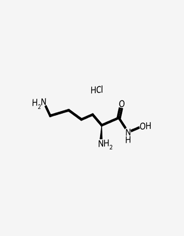 Cl.NCCCC[C@H](N)C(=O)NO